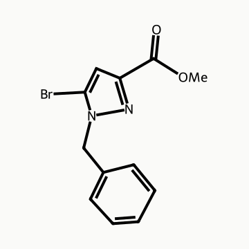 COC(=O)c1cc(Br)n(Cc2ccccc2)n1